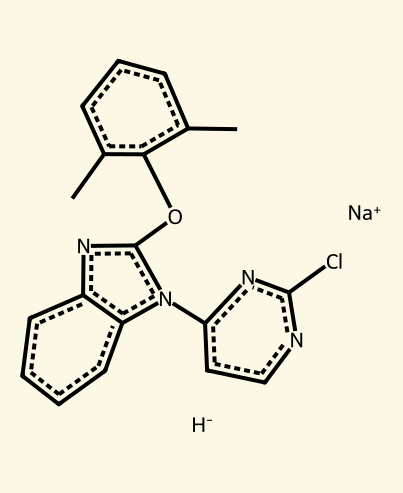 Cc1cccc(C)c1Oc1nc2ccccc2n1-c1ccnc(Cl)n1.[H-].[Na+]